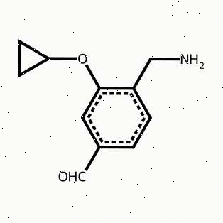 NCc1ccc(C=O)cc1OC1CC1